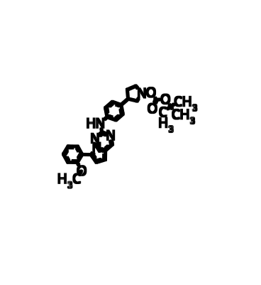 COc1ccccc1-c1ccc2cnc(Nc3ccc(C4CCN(OC(=O)OC(C)(C)C)C4)cc3)nn12